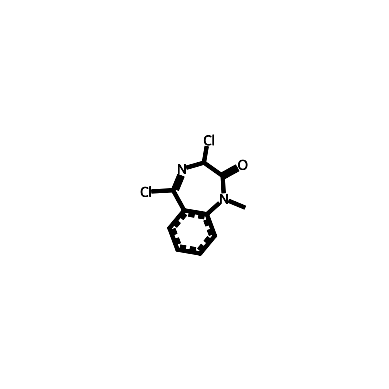 CN1C(=O)C(Cl)N=C(Cl)c2ccccc21